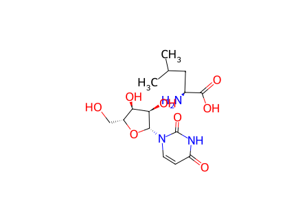 CC(C)C[C@H](N)C(=O)O.O=c1ccn([C@@H]2O[C@H](CO)[C@@H](O)[C@H]2O)c(=O)[nH]1